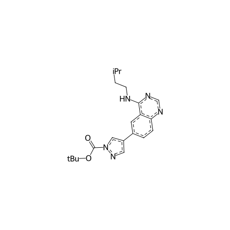 CC(C)CCNc1ncnc2ccc(-c3cnn(C(=O)OC(C)(C)C)c3)cc12